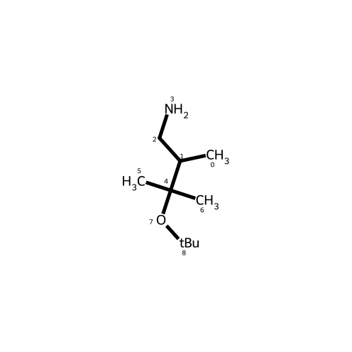 CC(CN)C(C)(C)OC(C)(C)C